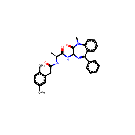 COc1ccc(OC)c(CC(=O)N[C@@H](C)C(=O)NC2N=C(c3ccccc3)c3ccccc3N(C)C2=O)c1